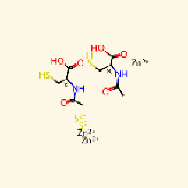 CC(=O)N[C@@H](CS)C(=O)O.CC(=O)N[C@@H](CS)C(=O)O.[S-2].[S-2].[Zn+2].[Zn+2].[Zn+2]